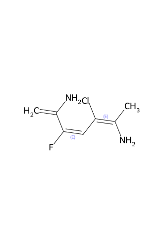 C=C(N)/C(F)=C\C(Cl)=C(\C)N